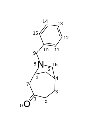 O=C1CCC2CC(C1)N(Cc1ccccc1)C2